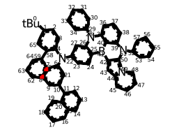 CC(C)(C)c1ccc(N(c2cccc(-c3cccc4ccccc34)c2)c2ccc3c(c2)N(c2ccccc2)c2cccc4c2B3c2cc3ccccn3c2N4c2ccccc2)c(-c2ccccc2)c1